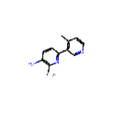 Cc1ccncc1-c1ccc(N)c(C(=O)O)n1